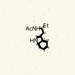 CC[C@H](Cc1c[nH]c2ccccc12)NC(C)=O